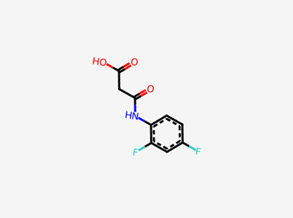 O=C(O)CC(=O)Nc1ccc(F)cc1F